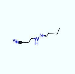 CCC/C=N/NCCC#N